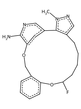 Cn1ncc2c1-c1cnc(N)c(c1)OCc1ccccc1OC(F)CCCC2